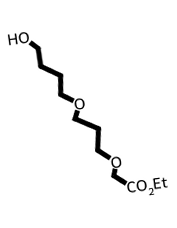 CCOC(=O)COCCCOCCCCO